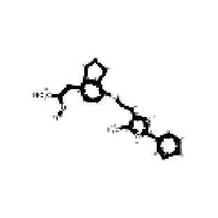 CCOC(=Cc1ccc(OCCc2nc(-c3ccccc3)oc2C)c2c1CCC2)C(=O)O